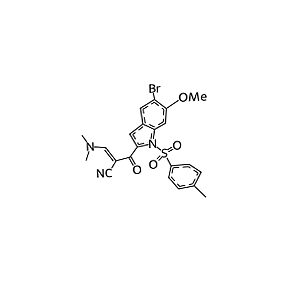 COc1cc2c(cc1Br)cc(C(=O)C(C#N)=CN(C)C)n2S(=O)(=O)c1ccc(C)cc1